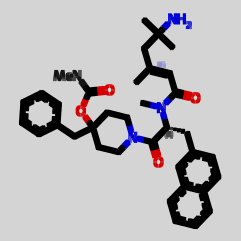 CNC(=O)OC1(Cc2ccccc2)CCN(C(=O)[C@@H](Cc2ccc3ccccc3c2)N(C)C(=O)/C=C(\C)CC(C)(C)N)CC1